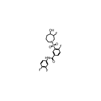 O=C(Nc1ccc(F)c(F)c1)c1ccc(F)c(S(=O)(=O)N2CCCC(O)C(F)C2)c1